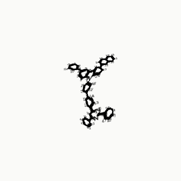 c1ccc(-c2ccc3c(c2)c2cc(-c4ccc5ccccc5c4)ccc2n3-c2ccc(-c3ccc(-c4cc(-c5ccccc5)nc(-c5ccccc5)n4)cc3)cc2)cc1